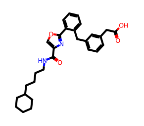 O=C(O)Cc1cccc(Cc2ccccc2-c2nc(C(=O)NCCCCC3CCCCC3)co2)c1